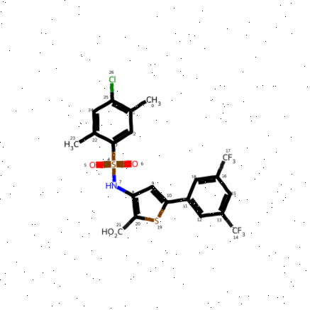 Cc1cc(S(=O)(=O)Nc2cc(-c3cc(C(F)(F)F)cc(C(F)(F)F)c3)sc2C(=O)O)c(C)cc1Cl